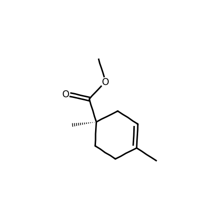 COC(=O)[C@@]1(C)CC=C(C)CC1